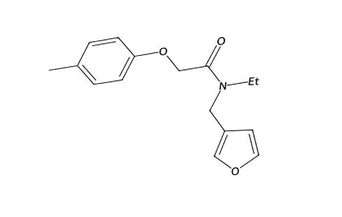 CCN(Cc1ccoc1)C(=O)COc1ccc(C)cc1